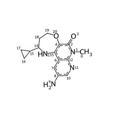 Cn1c(=O)c2c(c3cc(N)cnc31)NC(C1CC1)CCO2